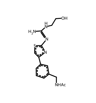 CC(=O)NCc1cccc(-c2csc(/N=C(\N)NCCO)n2)c1